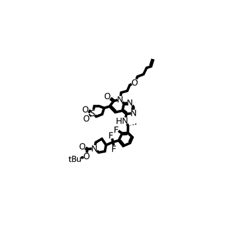 C=CCCCOCCCn1c(=O)c(C2CCS(=O)(=O)CC2)cc2c(N[C@H](C)c3cccc(C(F)(F)C4CCN(C(=O)OC(C)(C)C)CC4)c3F)ncnc21